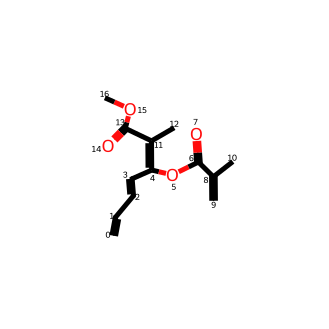 C=CC=CC(OC(=O)C(=C)C)=C(C)C(=O)OC